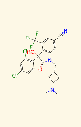 CN(C)C1CC(CN2C(=O)C(O)(c3ccc(Cl)cc3Cl)c3c2cc(C#N)cc3C(F)(F)F)C1